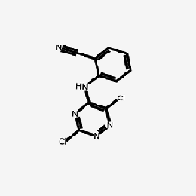 N#Cc1ccccc1Nc1nc(Cl)nnc1Cl